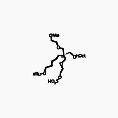 CCCCCCCCOC[C@](CCCCCOCCCC)(COCCOC)COCCOS(=O)(=O)O